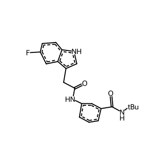 CC(C)(C)NC(=O)c1cccc(NC(=O)Cc2c[nH]c3ccc(F)cc23)c1